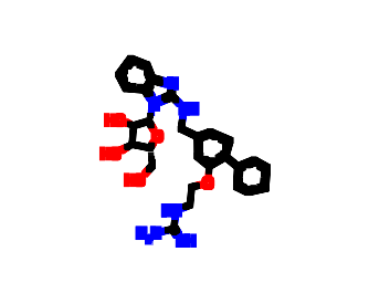 N=C(N)NCCOc1cc(CNc2nc3ccccc3n2[C@@H]2O[C@H](CO)[C@@H](O)[C@H]2O)ccc1-c1ccccc1